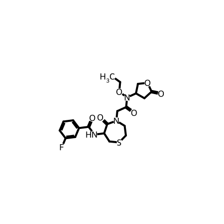 CCON(C(=O)CN1CCSCC(NC(=O)c2cccc(F)c2)C1=O)C1COC(=O)C1